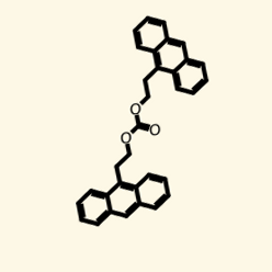 O=C(OCCc1c2ccccc2cc2ccccc12)OCCc1c2ccccc2cc2ccccc12